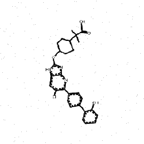 CC(C)(C(=O)O)C1CCC(Oc2nc3nc(-c4ccc(-c5ccccc5O)cc4)c(Cl)cc3[nH]2)CC1